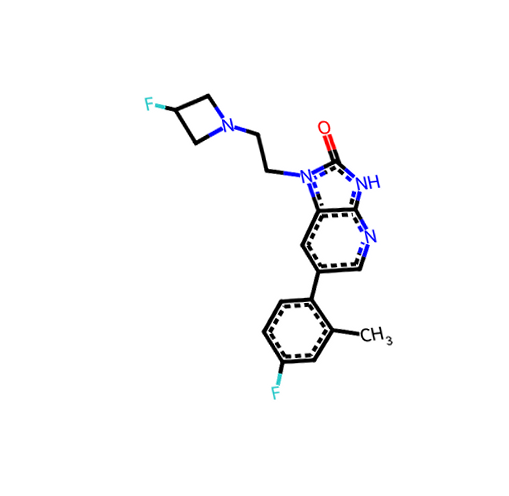 Cc1cc(F)ccc1-c1cnc2[nH]c(=O)n(CCN3CC(F)C3)c2c1